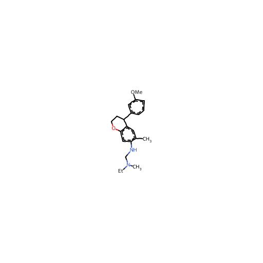 CCN(C)CNc1cc2c(cc1C)C(c1cccc(OC)c1)CCO2